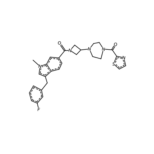 Cn1cc(Cc2cccc(F)c2)c2ccc(C(=O)N3CC(N4CCN(C(=O)c5nccs5)CC4)C3)cc21